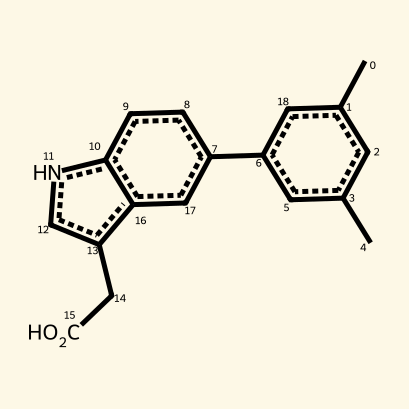 Cc1cc(C)cc(-c2ccc3[nH]cc(CC(=O)O)c3c2)c1